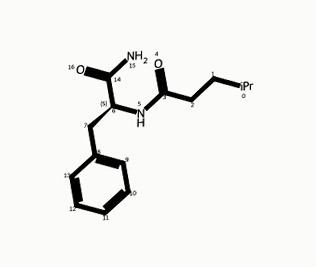 CC(C)CCC(=O)N[C@@H](Cc1ccccc1)C(N)=O